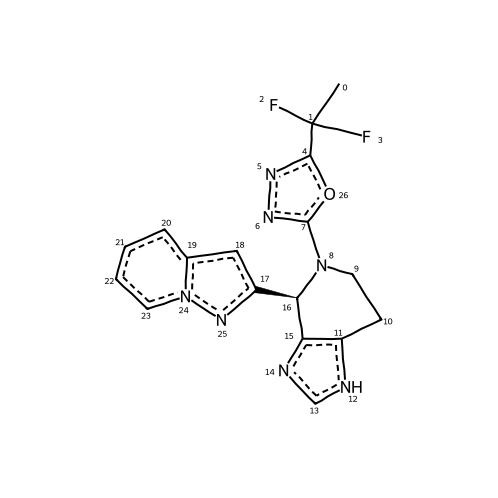 CC(F)(F)c1nnc(N2CCc3[nH]cnc3[C@H]2c2cc3ccccn3n2)o1